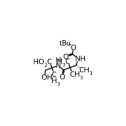 C[C@@H](NC(=O)OC(C)(C)C)C(C)(C)C(=O)NC(C)(CO)C(=O)O